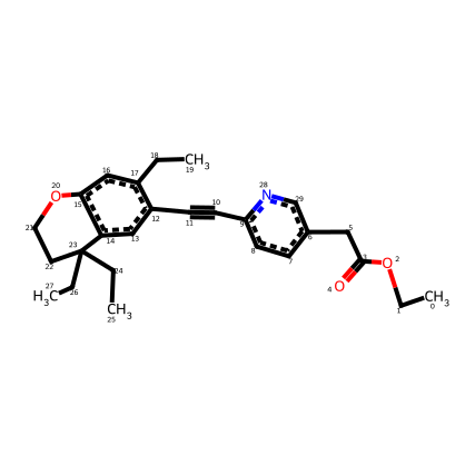 CCOC(=O)Cc1ccc(C#Cc2cc3c(cc2CC)OCCC3(CC)CC)nc1